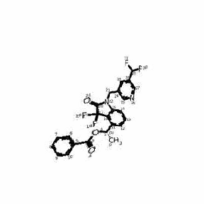 C[C@H](OC(=O)c1ccccc1)c1cccc2c1C(F)(F)C(=O)N2Cc1cncc(C(F)F)c1